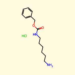 Cl.NCCCCCCNC(=O)OCc1ccccc1